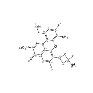 CCOC(=O)c1cn(-c2cc(N)c(F)cc2COC(C)=O)c2c(Cl)c(N3CC(C)(N)C3)c(F)cc2c1=O